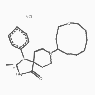 C[C@@H]1NC(=O)C2(CCN(C3CCCCCCCCC3)CC2)N1c1ccccc1.Cl